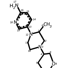 CC1CN(C2CCCOC2)CCN1c1ccc(N)nc1